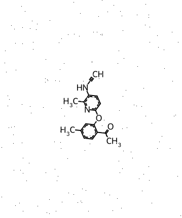 C#CNc1ccc(Oc2cc(C)ccc2C(C)=O)nc1C